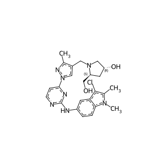 Cc1nn(-c2ccnc(Nc3ccc4c(c3)c(Cl)c(C)n4C)n2)cc1CN1C[C@H](O)C[C@H]1CO